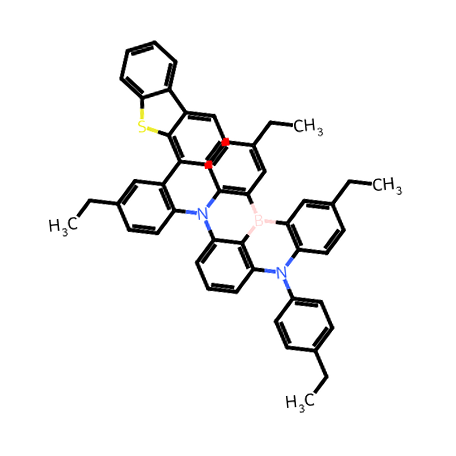 CCc1ccc(N2c3ccc(CC)cc3B3c4cc(CC)ccc4N(c4ccc(CC)cc4-c4cccc5c4sc4ccccc45)c4cccc2c43)cc1